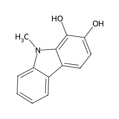 Cn1c2ccccc2c2ccc(O)c(O)c21